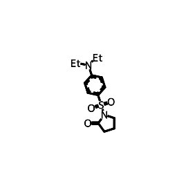 CCN(CC)c1ccc(S(=O)(=O)N2CCCC2=O)cc1